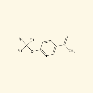 [2H]C([2H])([2H])Oc1ccc(C(C)=O)cn1